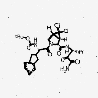 CCC[C@H](NC(=O)[C@@H]1[C@@H]2[C@H](CN1C(=O)[C@@H](NC(=O)OC(C)(C)C)C1Cc3ccccc3C1)C2(Cl)Cl)C(=O)C(N)=O